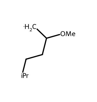 [CH2]C(CCC(C)C)OC